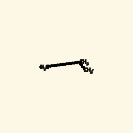 [CH2]CCCCCCCCCCCCCCCCCCC=CCC(C)CCCCC[CH2]